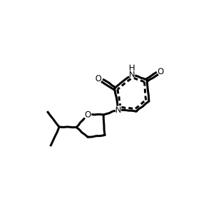 CC(C)C1CCC(n2ccc(=O)[nH]c2=O)O1